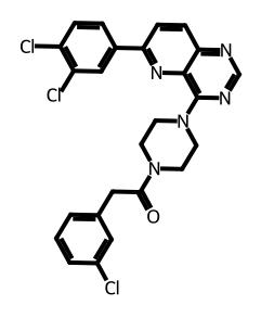 O=C(Cc1cccc(Cl)c1)N1CCN(c2ncnc3ccc(-c4ccc(Cl)c(Cl)c4)nc23)CC1